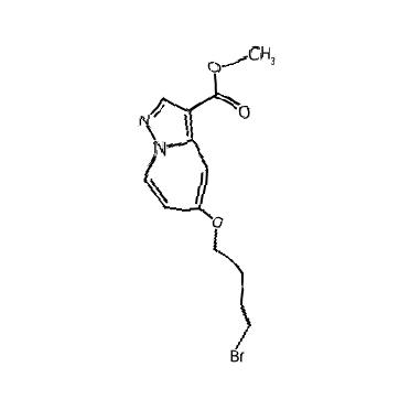 COC(=O)c1cnn2ccc(OCCCCBr)cc12